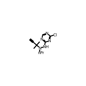 C#CC(C)(C)N(CCC)Nc1ncnc(Cl)n1